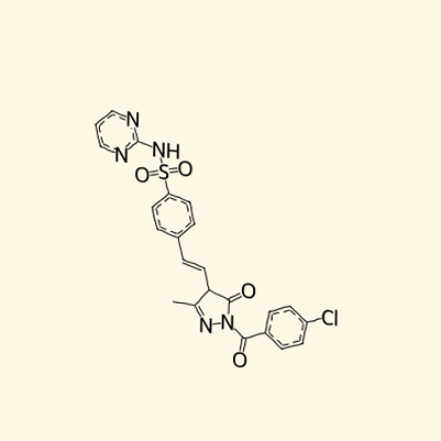 CC1=NN(C(=O)c2ccc(Cl)cc2)C(=O)C1/C=C/c1ccc(S(=O)(=O)Nc2ncccn2)cc1